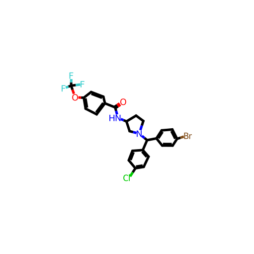 O=C(NC1CCN(C(c2ccc(Cl)cc2)c2ccc(Br)cc2)C1)c1ccc(OC(F)(F)F)cc1